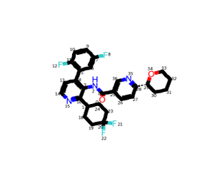 O=C(Nc1c(-c2cc(F)ccc2F)ccnc1C1CCC(F)(F)CC1)c1ccc([C@H]2CCCCO2)nc1